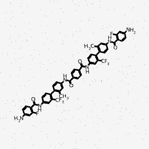 Cc1cc(NC(=O)c2ccc(N)cc2F)ccc1-c1ccc(NC(=O)c2ccc(C(=O)Nc3ccc(-c4ccc(NC(=O)c5ccc(N)cc5F)cc4C(F)(F)F)c(C)c3)cc2)cc1C(F)(F)F